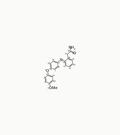 COc1ccc(Oc2ccc(Sc3ccccc3CC(N)=O)cc2)cc1